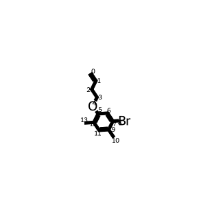 C=CCCOc1cc(Br)c(C)cc1C